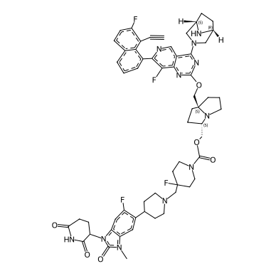 C#Cc1c(F)ccc2cccc(-c3ncc4c(N5C[C@H]6CC[C@@H](C5)N6)nc(OC[C@@]56CCCN5[C@H](COC(=O)N5CCC(F)(CN7CCC(c8cc9c(cc8F)n(C8CCC(=O)NC8=O)c(=O)n9C)CC7)CC5)CC6)nc4c3F)c12